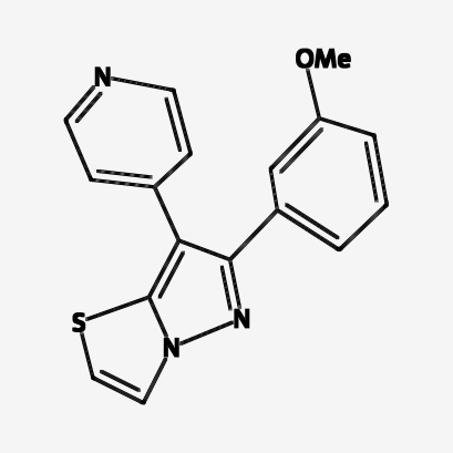 COc1cccc(-c2nn3ccsc3c2-c2ccncc2)c1